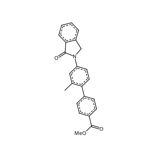 COC(=O)c1ccc(-c2ccc(N3Cc4ccccc4C3=O)cc2C)cc1